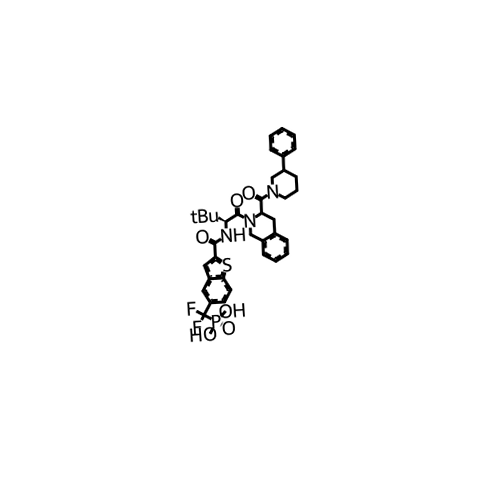 CC(C)(C)[C@H](NC(=O)c1cc2cc(C(F)(F)P(=O)(O)O)ccc2s1)C(=O)N1Cc2ccccc2CC1C(=O)N1CCCC(c2ccccc2)C1